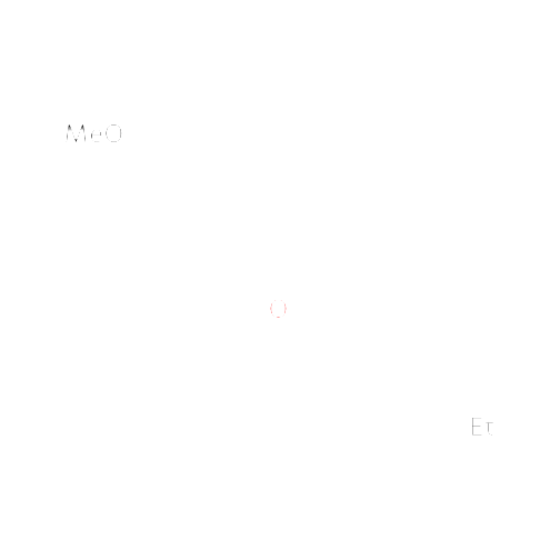 CCc1cccc(OCc2cccc(OC)c2)c1